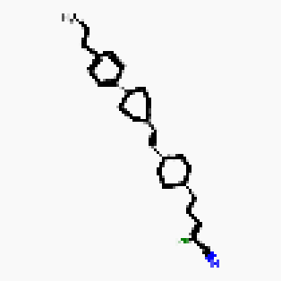 CCCc1ccc([C@H]2CC[C@H](C=C[C@H]3CC[C@H](CCC=C(F)C#N)CC3)CC2)cc1